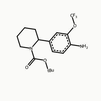 CC(C)(C)OC(=O)N1CCCCC1c1ccc(N)c(OC(F)(F)F)c1